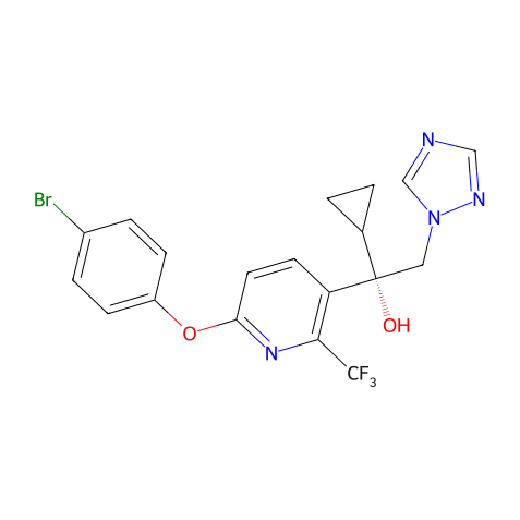 O[C@](Cn1cncn1)(c1ccc(Oc2ccc(Br)cc2)nc1C(F)(F)F)C1CC1